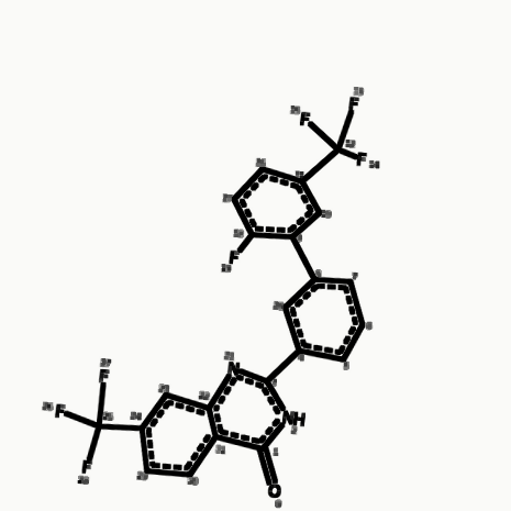 O=c1[nH]c(-c2cccc(-c3cc(C(F)(F)F)ccc3F)c2)nc2cc(C(F)(F)F)ccc12